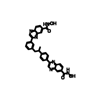 CC(Cc1cccc(-c2cnc3ccc(C(=O)NO)cc3n2)c1)c1ccc(-c2cnc3cc(C(=O)NO)ccc3n2)cc1